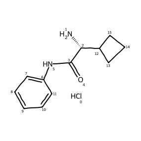 Cl.N[C@@H](C(=O)Nc1ccccc1)C1CCC1